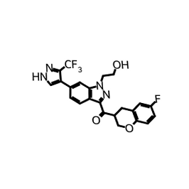 O=C(c1nn(CCO)c2cc(-c3c[nH]nc3C(F)(F)F)ccc12)C1COc2ccc(F)cc2C1